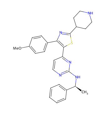 COc1ccc(-c2nc(C3CCNCC3)sc2-c2ccnc(N[C@@H](C)c3ccccc3)n2)cc1